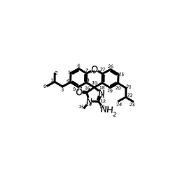 CC(C)Cc1ccc2c(c1)C1(N=C(N)N(C)C1=O)c1cc(CC(C)C)ccc1O2